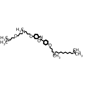 CN(C)CCCCCCCCN(C)CCCOc1ccc(-c2nc3ccc(OCCCN(C)CCCOCCCN(C)C)cc3o2)cc1